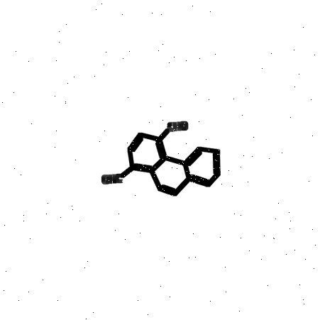 O=Cc1ccc(C=O)c2c1ccc1ccccc12